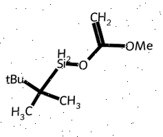 C=C(OC)O[SiH2]C(C)(C)C(C)(C)C